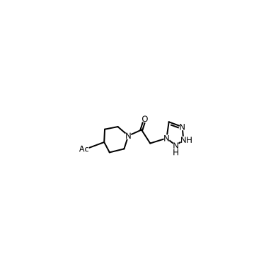 CC(=O)C1CCN(C(=O)CN2C=NNN2)CC1